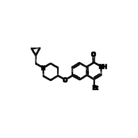 CCc1c[nH]c(=O)c2ccc(OC3CCN(CC4CC4)CC3)cc12